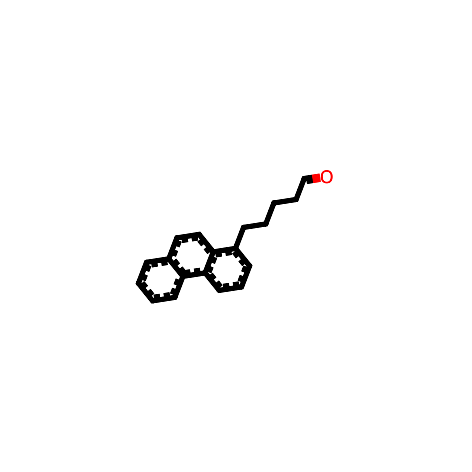 O=CCCCCc1cccc2c1ccc1ccccc12